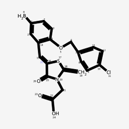 Bc1ccc(OCc2ccc(Cl)cc2)c(/C=c2\sc(=C)n(CC(=O)O)c2=O)c1